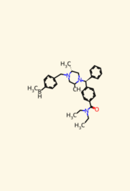 CBc1ccc(CN2C[C@H](C)N([C@@H](c3ccccc3)c3ccc(C(=O)N(CC)CC)cc3)C[C@H]2C)cc1